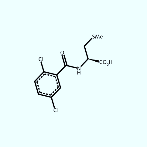 CSC[C@H](NC(=O)c1cc(Cl)ccc1Cl)C(=O)O